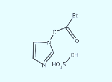 CCC(=O)On1ccnc1.O=S(=O)(O)O